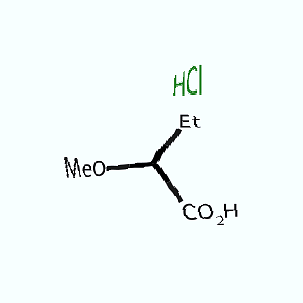 CCC(OC)C(=O)O.Cl